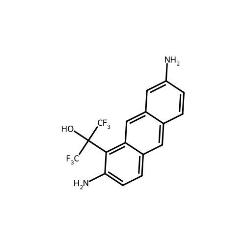 Nc1ccc2cc3ccc(N)c(C(O)(C(F)(F)F)C(F)(F)F)c3cc2c1